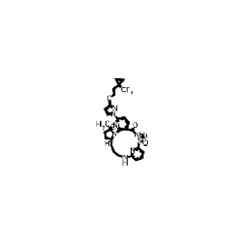 CC1(C)CC[C@@H]2CCCNc3cccc(n3)S(=O)(=O)NC(=O)c3ccc(-n4ccc(OCCC5(C(F)(F)F)CC5)n4)nc3N21